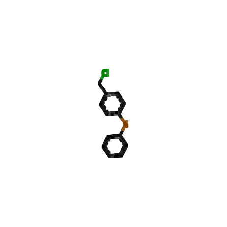 ClCc1ccc(Sc2ccccc2)cc1